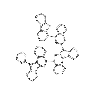 c1ccc(-n2c3ccccc3c3cc(-c4cc5c(c6ccccc46)c4ccccc4n5-c4nc(-c5cccc6c5oc5ccccc56)c5ccccc5n4)c4ccccc4c32)cc1